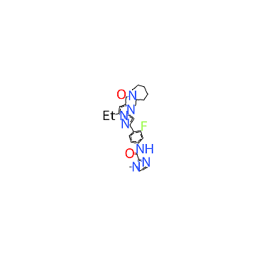 CCc1cc(C(=O)N2CCCCCC2C)nc2cc(-c3ccc(NC(=O)c4nccn4C)cc3F)nn12